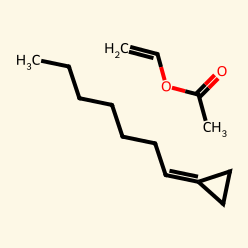 C=COC(C)=O.CCCCCCC=C1CC1